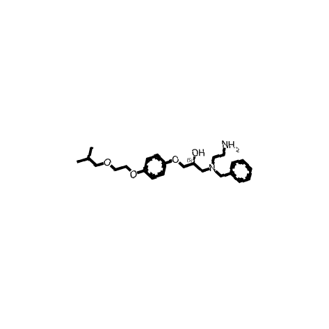 CC(C)COCCOc1ccc(OC[C@@H](O)CN(CCN)Cc2ccccc2)cc1